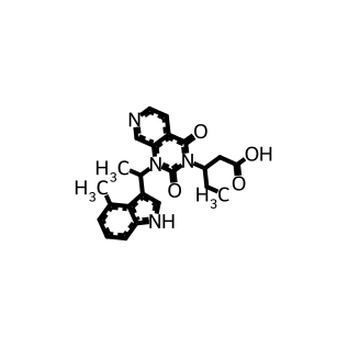 CCC(CC(=O)O)n1c(=O)c2ccncc2n(C(C)c2c[nH]c3cccc(C)c23)c1=O